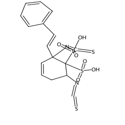 O=S(=O)(O)C1(S(=O)(=O)O)C(N=C=S)CC=CC1(C=Cc1ccccc1)N=C=S